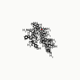 CC(C)C[C@H](NC(=O)[C@H](CC(N)=O)NC(=O)[C@@H]1CCCN1C(=O)[C@H](CCC(N)=O)NC(=O)[C@H](CCCCN)NC(=O)[C@H](CCCCN)NC(=O)[C@H](Cc1c[nH]c2ccccc12)NC(=O)[C@@H](N)Cc1ccc(O)cc1)C(=O)N[C@H](C(=O)N[C@@H](CCCNC(=N)N)C(=O)N[C@@H](C)C(=O)N[C@H](C(=O)N[C@@H](CCC(=O)O)C(=O)N[C@@H](CC(N)=O)C(=O)O)C(C)C)[C@@H](C)O